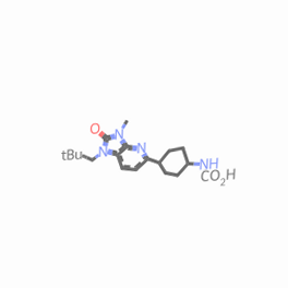 Cn1c(=O)n(CC(C)(C)C)c2ccc(C3CCC(NC(=O)O)CC3)nc21